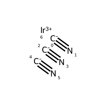 [C-]#N.[C-]#N.[C-]#N.[Ir+3]